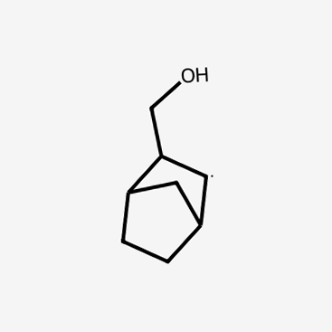 OCC1[CH]C2CCC1C2